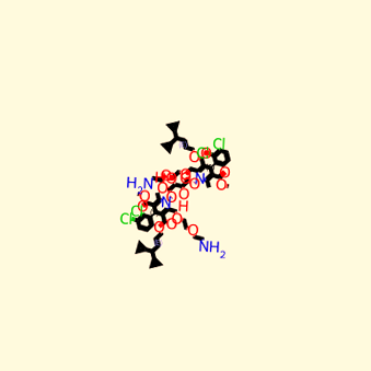 COC(=O)C1=C(C)N(OC(=O)C(O)C(O)C(=O)ON2C(C)=C(C(=O)OC)[C@H](c3cccc(Cl)c3Cl)C(C(=O)OC/C=C/C(C3CC3)C3CC3)=C2COCCOCCN)C(COCCOCCN)=C(C(=O)OC/C=C/C(C2CC2)C2CC2)[C@H]1c1cccc(Cl)c1Cl